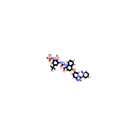 COc1c(NC(=O)N[C@@]2(C=O)C=C[C@@H](Oc3ccc4nnc([C@@H]5CCCCN5C)n4c3)c3ccccc32)cc(C(C)(C)C)cc1NS(C)(=O)=O